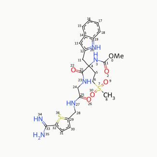 COC(=O)NC(CCS(C)(=O)=O)(Cc1cc2ccccc2[nH]1)C(=O)NCC(=O)NCc1ccc(C(=N)N)s1